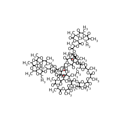 C=C(C)C(=O)OC(C)C(=O)OC(C)C(=O)OC(C)C(=O)OC(C)C(=O)OC(C)C(=O)OC(C)C(=O)OCC(COC(=O)C(C)OC(=O)C(C)OC(=O)C(C)OC(=O)C(C)OC(=O)C(C)OC(=O)C(C)OC(=O)C(=C)C)(COC(=O)C(C)OC(=O)C(C)OC(=O)C(C)OC(=O)C(C)OC(=O)C(C)OC(=O)C(C)OC(=O)C(=C)C)COC(=O)C(C)OC(=O)C(C)OC(=O)C(C)OC(=O)C(C)OC(=O)C(C)OC(=O)C(C)OC(=O)C(=C)C